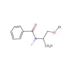 CCOCC(C(=O)O)N(F)C(=O)c1ccccc1